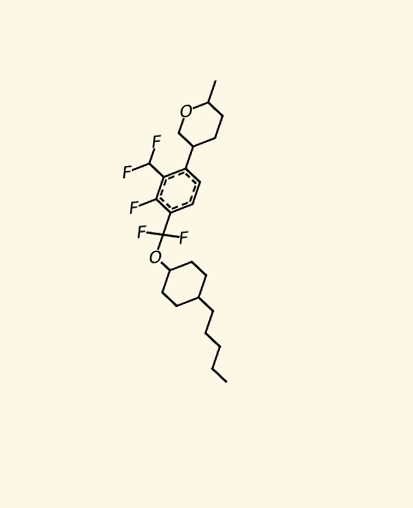 CCCCCC1CCC(OC(F)(F)c2ccc(C3CCC(C)OC3)c(C(F)F)c2F)CC1